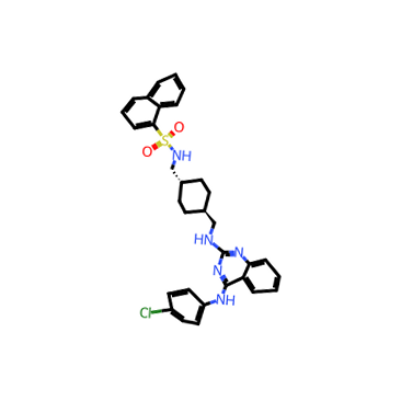 O=S(=O)(NC[C@H]1CC[C@H](CNc2nc(Nc3ccc(Cl)cc3)c3ccccc3n2)CC1)c1cccc2ccccc12